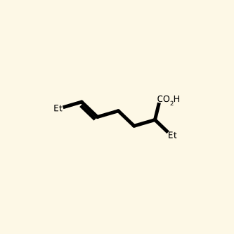 CCC=CCCC(CC)C(=O)O